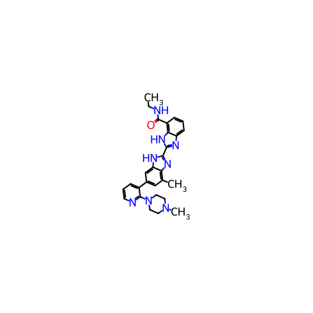 CCNC(=O)c1cccc2nc(-c3nc4c(C)cc(-c5cccnc5N5CCN(C)CC5)cc4[nH]3)[nH]c12